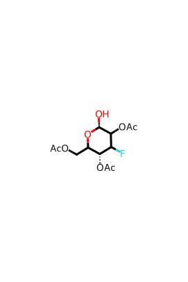 CC(=O)OCC1O[C@@H](O)C(OC(C)=O)C(F)[C@@H]1OC(C)=O